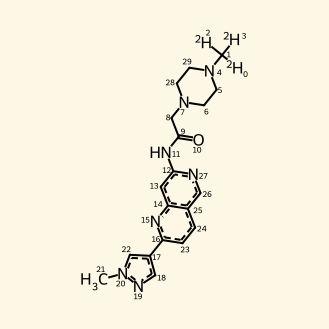 [2H]C([2H])([2H])N1CCN(CC(=O)Nc2cc3nc(-c4cnn(C)c4)ccc3cn2)CC1